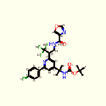 CC(C)(C)OC(=O)NC(C)(C)c1cc(-c2ccc(F)cc2)nc(C(CNC(=O)c2cocn2)C(F)(F)F)c1